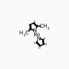 Cc1ccc(C)[n]1[Ru][n]1cccc1